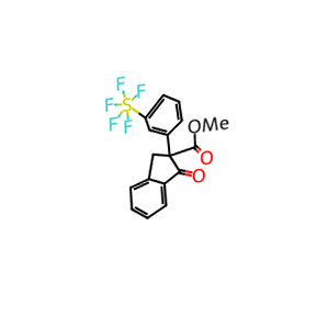 COC(=O)C1(c2cccc(S(F)(F)(F)(F)F)c2)Cc2ccccc2C1=O